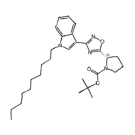 CCCCCCCCCCn1cc(-c2noc([C@@H]3CCCN3C(=O)OC(C)(C)C)n2)c2ccccc21